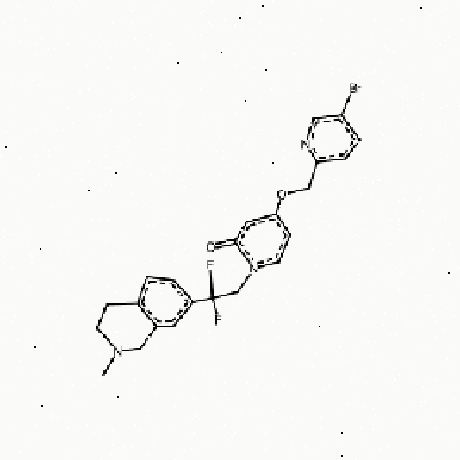 CN1CCc2ccc(C(F)(F)Cn3ccc(OCc4ccc(Br)cn4)cc3=O)cc2C1